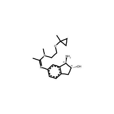 CC(=Nc1ccc2c(c1)[C@@H](N)[C@H](O)C2)N(C)CCOC1(C)CC1